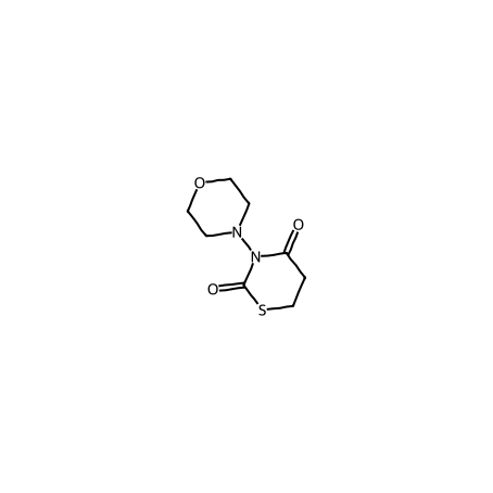 O=C1CCSC(=O)N1N1CCOCC1